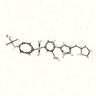 Nc1cc(S(=O)(=O)c2ccc(OC(F)(F)F)cc2)cnc1-c1nc(CC2CCCO2)no1